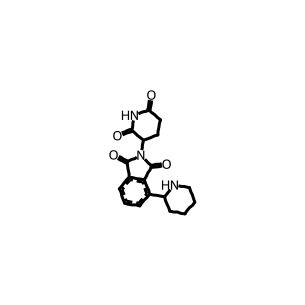 O=C1CCC(N2C(=O)c3cccc(C4CCCCN4)c3C2=O)C(=O)N1